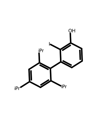 CC(C)c1cc(C(C)C)c(-c2cccc(O)c2I)c(C(C)C)c1